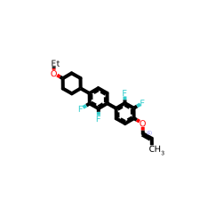 C/C=C/Oc1ccc(-c2ccc(C3CCC(OCC)CC3)c(F)c2F)c(F)c1F